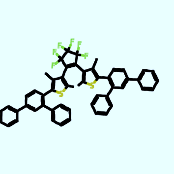 Cc1sc(-c2ccc(-c3ccccc3)cc2-c2ccccc2)c(C)c1C1=C(c2c(C)sc(-c3ccc(-c4ccccc4)cc3-c3ccccc3)c2C)C(F)(F)C(F)(F)C1(F)F